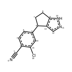 N#Cc1ccc(C2CCc3[nH]ncc32)cc1Cl